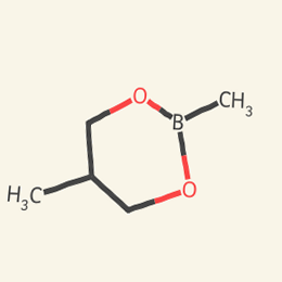 CB1OCC(C)CO1